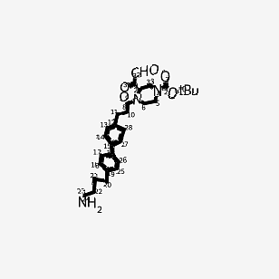 CC(C)(C)OC(=O)N1CCN(C(=O)CCc2ccc(-c3ccc(CCCCN)cc3)cc2)[C@@H](C(=O)C=O)C1